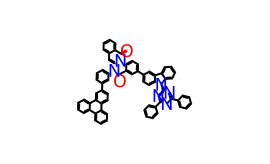 O=c1c2cc(-c3ccc4c(c3)c3ccccc3n4-c3nc(-c4ccccc4)nc(-c4ccccc4)n3)ccc2n2c(=O)c3ccccc3cc2n1-c1cccc(-c2ccc3c4ccccc4c4ccccc4c3c2)c1